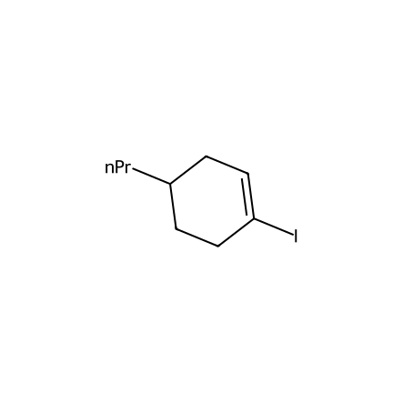 CCCC1CC=C(I)CC1